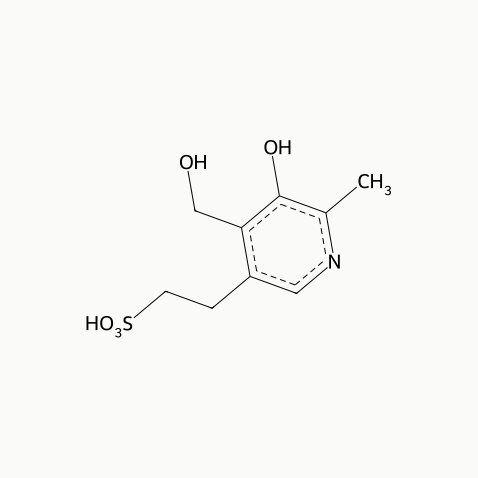 Cc1ncc(CCS(=O)(=O)O)c(CO)c1O